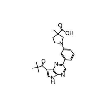 CC(C)(C)C(=O)c1c[nH]c2ncc(-c3cccc(N4CCC(C)(C(=O)O)C4)c3)nc12